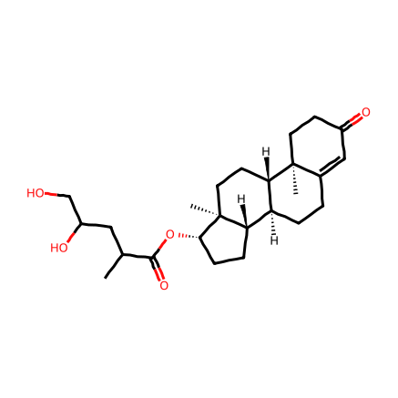 CC(CC(O)CO)C(=O)O[C@H]1CC[C@H]2[C@@H]3CCC4=CC(=O)CC[C@]4(C)[C@H]3CC[C@]12C